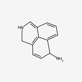 NC1C=CC2=c3c1cccc3=CNC2